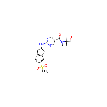 CS(=O)(=O)c1ccc2c(c1)CC(Nc1ncc(C(=O)N3CCC34COC4)cn1)C2